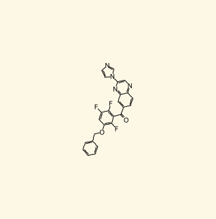 O=C(c1ccc2ncc(-n3ccnc3)nc2c1)c1c(F)c(F)cc(OCc2ccccc2)c1F